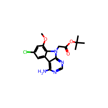 COc1cc(Cl)cc2c3c(N)ncnc3n(CC(=O)OC(C)(C)C)c12